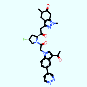 CC(=O)c1cn(CC(=O)N2C[C@H](F)C[C@H]2C(=O)Cc2nn(C)c3c2CC(C)C(=O)C3)c2ccc(-c3ccnnc3)cc12